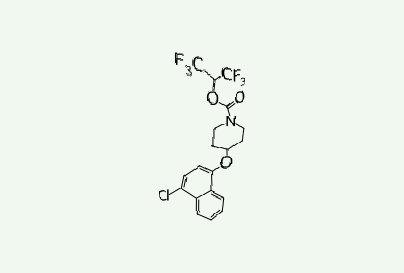 O=C(OC(C(F)(F)F)C(F)(F)F)N1CCC(Oc2ccc(Cl)c3ccccc23)CC1